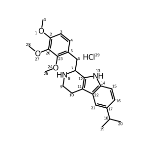 COc1ccc(CC2NCCc3c2[nH]c2ccc(C(C)C)cc32)c(OC)c1OC.Cl